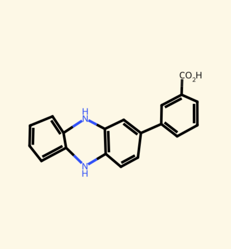 O=C(O)c1cccc(-c2ccc3c(c2)Nc2ccccc2N3)c1